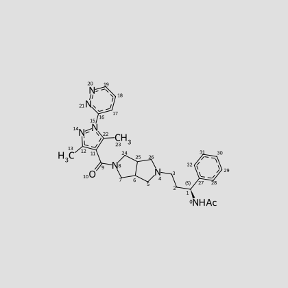 CC(=O)N[C@@H](CCN1CC2CN(C(=O)c3c(C)nn(-c4cccnn4)c3C)CC2C1)c1ccccc1